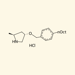 CCCCCCCCc1ccc(CO[C@@H]2CN[C@@H](C)C2)cc1.Cl